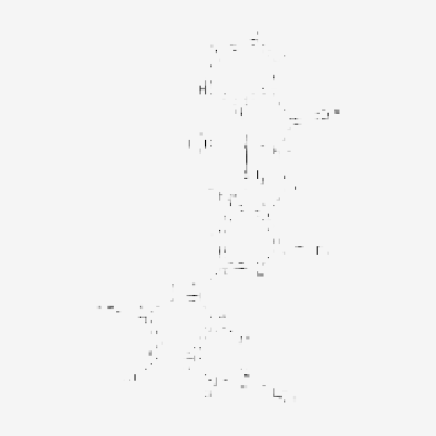 BC1(B)c2ncccc2C(=O)N1Cc1c(F)cc(-c2cc(F)c(F)c3nn(C)cc23)cc1F